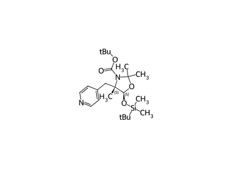 CC(C)(C)OC(=O)N1C(C)(C)O[C@@H](O[Si](C)(C)C(C)(C)C)[C@]1(C)Cc1ccncc1